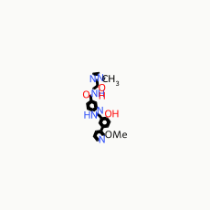 COc1ncccc1-c1ccc(O)c(-c2nc3cc(C(=O)NCC(O)c4nccn4C)ccc3[nH]2)c1